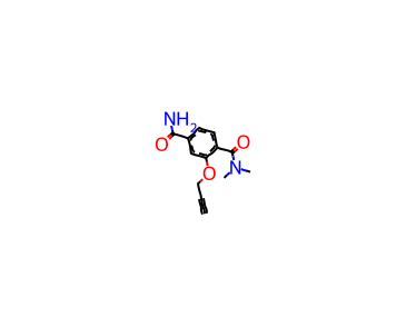 C#CCOc1cc(C(N)=O)ccc1C(=O)N(C)C